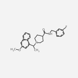 COc1cc(C(C)N2CCC(C(=O)NCc3cccc(F)c3)CC2)c2ccccc2c1